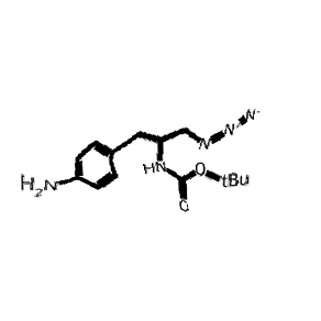 CC(C)(C)OC(=O)NC(CN=[N+]=[N-])Cc1ccc(N)cc1